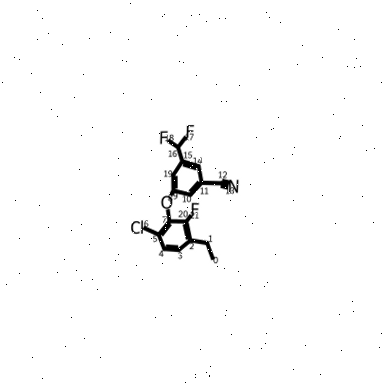 CCc1ccc(Cl)c(Oc2cc(C#N)cc(C(F)F)c2)c1F